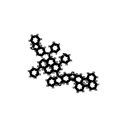 c1ccc(N(c2ccc3oc4ccccc4c3c2)c2cc3c(-c4cccnc4)cc(-n4c5ccccc5oc5cc6c(cc54)oc4cc5c7cccc8cccc(c9cccc(c46)c95)c87)c4ccc5c(-c6cccnc6)ccc2c5c34)cc1